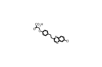 O=C(O)C(=O)COc1ccc(CCc2cnc3cc(Cl)ccc3n2)cc1